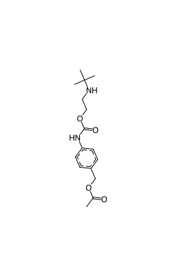 CC(=O)OCc1ccc(NC(=O)OCCNC(C)(C)C)cc1